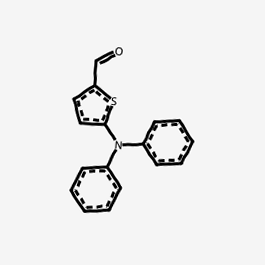 O=Cc1ccc(N(c2ccccc2)c2ccccc2)s1